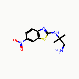 CC(C)(CN)Nc1nc2ccc([N+](=O)[O-])cc2s1